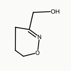 OCC1=NOCCC1